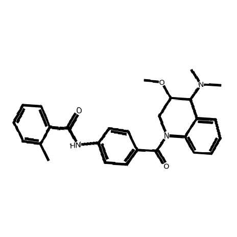 COC1CN(C(=O)c2ccc(NC(=O)c3ccccc3C)cc2)c2ccccc2C1N(C)C